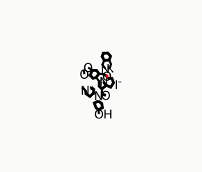 C[C@@H]1Cc2ccccc2CN1C(=O)c1cc2c(cc1-c1cc(C(=O)N(c3ccc(O)cc3)c3cc[n+](C)cc3)c3ccccn13)OCO2.[I-]